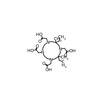 CCC1(C)CN(CC(=O)O)CCN(CC(=O)O)CCN(CC(=O)O)CC(C)(CC)CN(CC(=O)O)C1